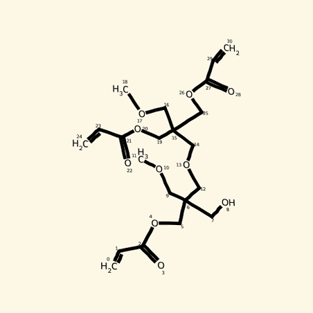 C=CC(=O)OCC(CO)(COC)COCC(COC)(COC(=O)C=C)COC(=O)C=C